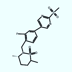 CC1CC[C@H](C)N(Cc2ccc(-c3cnc(S(C)(=O)=O)nc3)cc2F)S1(=O)=O